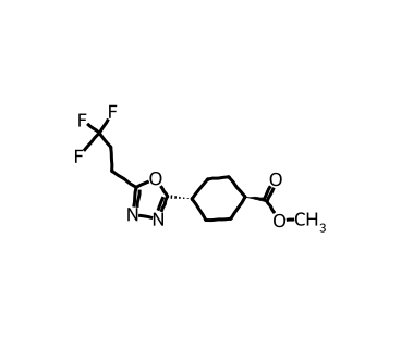 COC(=O)[C@H]1CC[C@H](c2nnc(CCC(F)(F)F)o2)CC1